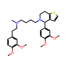 COc1ccc(CCN(C)CCCCN2CCc3sccc3C2c2ccc(OC)c(OC)c2)cc1OC